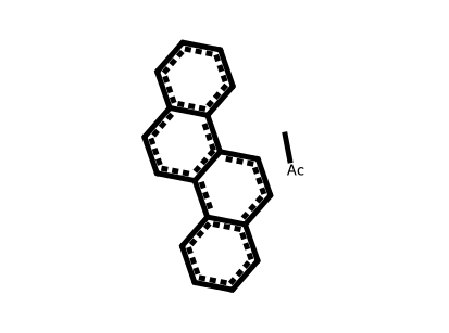 CC(C)=O.c1ccc2c(c1)ccc1c3ccccc3ccc21